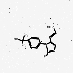 CC(C)c1ncc(/C=C/C(=O)O)n1-c1ccc(C(O)(C(F)(F)F)C(F)(F)F)cc1